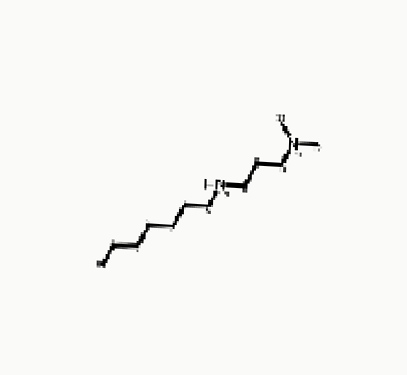 CCCCCCCNCCCN(C)C